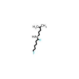 CC(C)CCC[AsH]C(F)CCCCCF